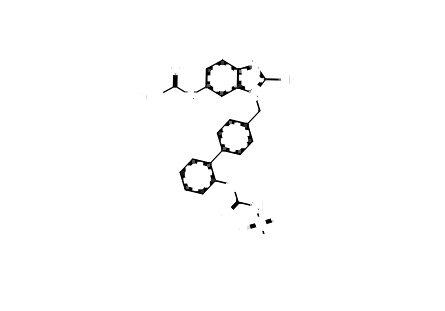 CCCCc1nc2ccc(NC(=O)CCC)cc2n1Cc1ccc(-c2ccccc2OC(=O)NS(C)(=O)=O)cc1